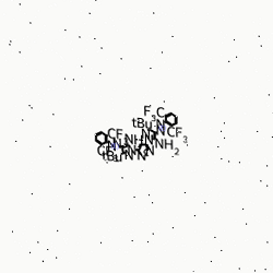 CC(C)(C)c1nn(-c2cc(-n3nc(C(C)(C)C)c(/N=N/c4c(C(F)(F)F)cccc4C(F)(F)F)c3N)ncn2)c(N)c1/N=N/c1c(C(F)(F)F)cccc1C(F)(F)F